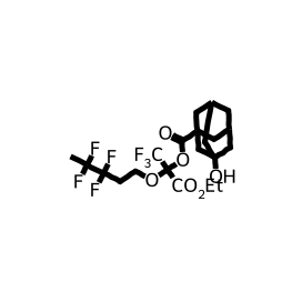 CCOC(=O)C(OCCC(F)(F)C(C)(F)F)(OC(=O)C12CC3CC(CC(O)(C3)C1)C2)C(F)(F)F